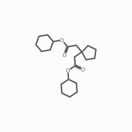 O=C(CC1(CC(=O)OC2CCCCC2)CCCC1)OC1CCCCC1